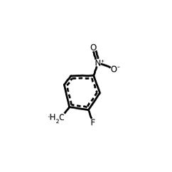 [CH2]c1ccc([N+](=O)[O-])cc1F